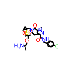 C[C@@H](N)COCC(C)(C)S(=O)(=O)C1(CN2CCc3c(C(=O)NCc4ccc(Cl)cc4)nn(C)c3C2=O)CC1